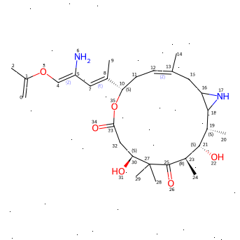 C=C(C)O/C=C(N)/C=C(\C)[C@@H]1C/C=C(/C)CC2NC2[C@H](C)[C@H](O)[C@@H](C)C(=O)C(C)(C)[C@@H](O)CC(=O)O1